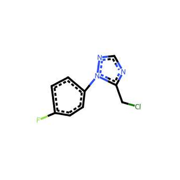 Fc1ccc(-n2ncnc2CCl)cc1